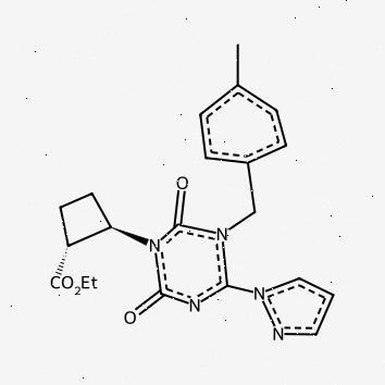 CCOC(=O)[C@@H]1CC[C@H]1n1c(=O)nc(-n2cccn2)n(Cc2ccc(C)cc2)c1=O